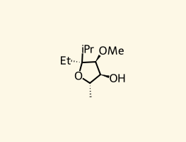 CC[C@@]1(C(C)C)O[C@@H](C)[C@H](O)[C@@H]1OC